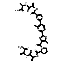 C=C(NC(=O)C(=C)NC(=O)C1CCCN1C(=O)c1nc(-c2ccc(-c3nc(C(=O)NC(=C)C(=O)NC(C)C(N)=O)cs3)c(C)n2)oc1C)C(N)=O